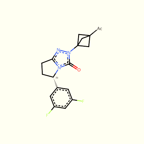 CC(=O)C12CC(n3nc4n(c3=O)[C@H](c3cc(F)cc(F)c3)CC4)(C1)C2